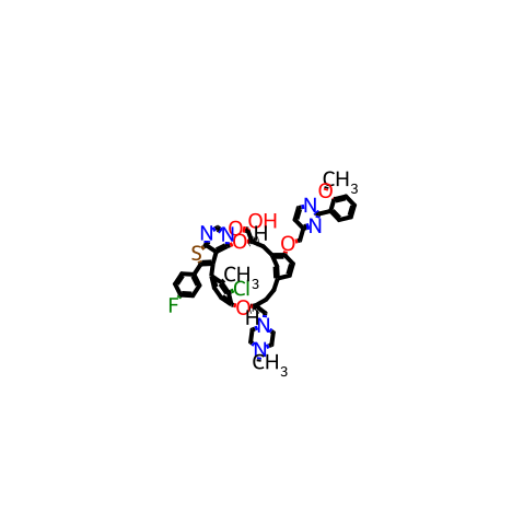 COc1ccccc1-c1nccc(COc2ccc3cc2C[C@H](C(=O)O)Oc2ncnc4sc(-c5ccc(F)cc5)c(c24)-c2ccc(c(Cl)c2C)O[C@@H](CN2CCN(C)CC2)CC3)n1